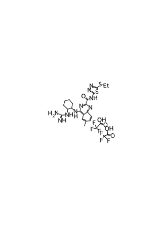 CCSc1nnc(NC(=O)c2nc(NC3CCCCC3NC(=N)N)c3cc(C)ccc3n2)s1.O=C(O)C(F)(F)F.O=C(O)C(F)(F)F